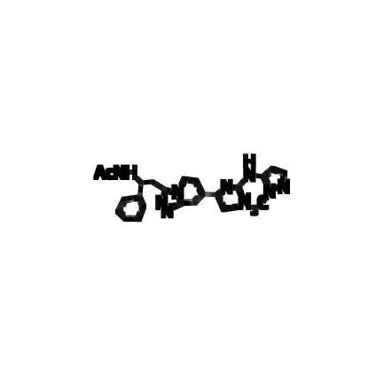 CC(=O)NC(Cc1nnc2cc(-c3ccnc(Nc4ccnn4C)n3)ccn12)c1ccccc1